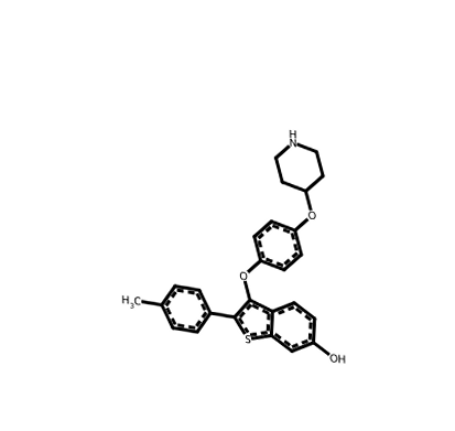 Cc1ccc(-c2sc3cc(O)ccc3c2Oc2ccc(OC3CCNCC3)cc2)cc1